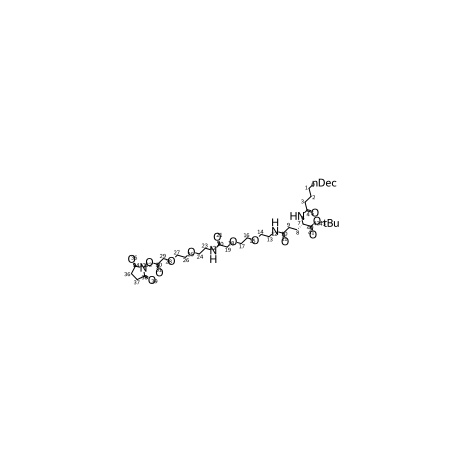 CCCCCCCCCCCCCC(=O)N[C@@H](CCC(=O)NCCOCCOCC(=O)NCCOCCOCC(=O)ON1C(=O)CCC1=O)C(=O)OC(C)(C)C